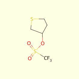 O=S(=O)(OC1CCSC1)C(F)(F)F